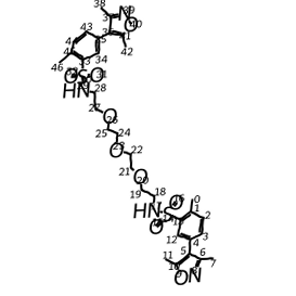 Cc1ccc(-c2c(C)noc2C)cc1S(=O)(=O)NCCOCCOCCOCCNS(=O)(=O)c1cc(-c2c(C)noc2C)ccc1C